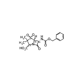 CC1(C)[C@H](C(=O)O)N2C(=O)[C@@H](NC(=O)OCc3ccccc3)[C@H]2S1(=O)=O